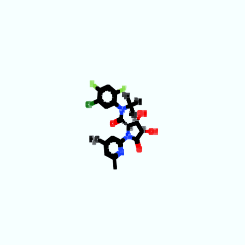 [2H]C([2H])([2H])N(C(=O)[C@@H]1[C@H](O)[C@H](O)C(=O)N1c1cc(C(F)(F)F)cc(C)n1)c1cc(Cl)c(F)cc1F